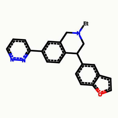 CCN1Cc2cc(-c3cccnn3)ccc2C(c2ccc3occc3c2)C1